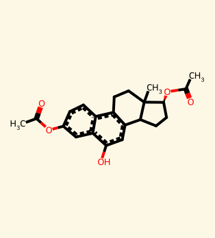 CC(=O)Oc1ccc2c3c(cc(O)c2c1)C1CC[C@H](OC(C)=O)C1(C)CC3